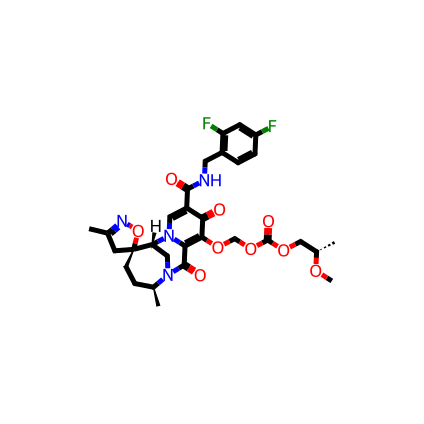 CO[C@@H](C)COC(=O)OCOc1c2n(cc(C(=O)NCc3ccc(F)cc3F)c1=O)[C@@H]1CN(C2=O)[C@@H](C)CC[C@]12CC(C)=NO2